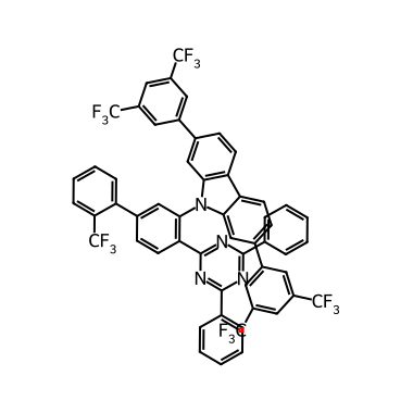 FC(F)(F)c1cc(-c2ccc3c4ccc(-c5cc(C(F)(F)F)cc(C(F)(F)F)c5)cc4n(-c4cc(-c5ccccc5C(F)(F)F)ccc4-c4nc(-c5ccccc5)nc(-c5ccccc5)n4)c3c2)cc(C(F)(F)F)c1